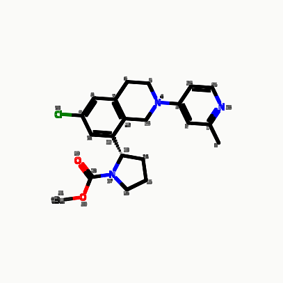 Cc1cc(N2CCc3cc(Cl)cc([C@@H]4CCCN4C(=O)OC(C)(C)C)c3C2)ccn1